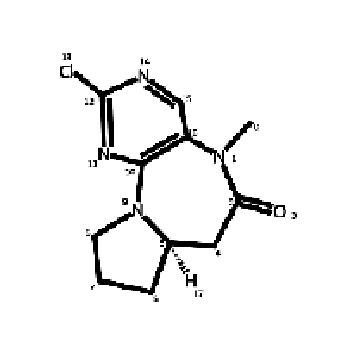 CN1C(=O)C[C@H]2CCCN2c2nc(Cl)ncc21